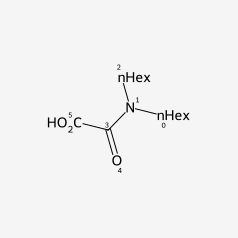 CCCCCCN(CCCCCC)C(=O)C(=O)O